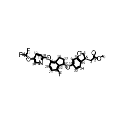 COC(=O)C[C@@H]1COc2cc(O[C@@H]3CCc4c(Oc5ccc(OC(F)F)cn5)ccc(F)c43)ccc21